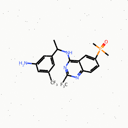 CC(Nc1nc(C(F)(F)F)nc2ccc(P(C)(C)=O)cc12)c1cc(N)cc(C(F)(F)F)c1